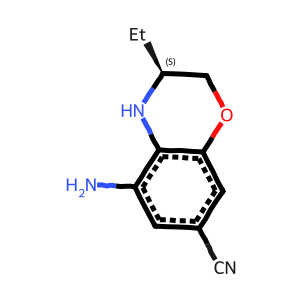 CC[C@H]1COc2cc(C#N)cc(N)c2N1